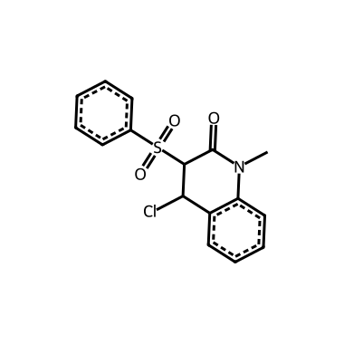 CN1C(=O)C(S(=O)(=O)c2ccccc2)C(Cl)c2ccccc21